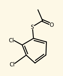 CC(=O)Sc1cccc(Cl)c1Cl